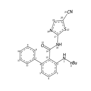 CCCCNc1cccc(-c2ccccc2)c1C(=O)Nc1ncc(C#N)s1